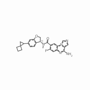 CN(C(=O)c1cc2c(cc1F)nc(N)c1cncn12)[C@@H]1COc2cc(C3CC34CCC4)ccc21